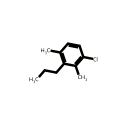 CCCc1c(C)ccc(Cl)c1C